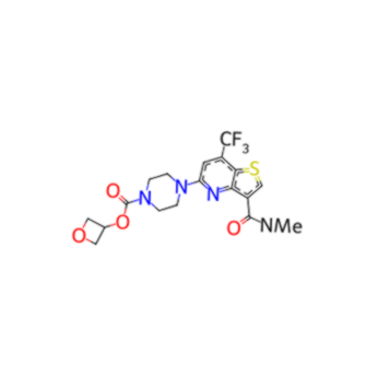 CNC(=O)c1csc2c(C(F)(F)F)cc(N3CCN(C(=O)OC4COC4)CC3)nc12